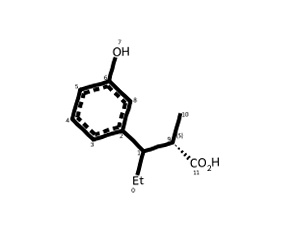 CCC(c1cccc(O)c1)[C@H](C)C(=O)O